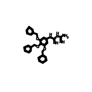 N=C(N)NC(=N)Nc1cc(OCc2ccccc2)c(OCc2ccccc2)c(OCc2ccccc2)c1